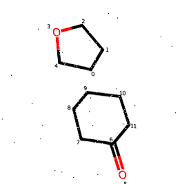 C1CCOC1.O=C1CCCCC1